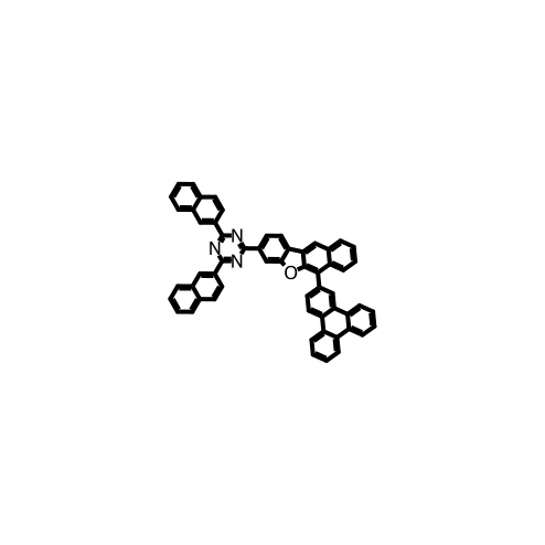 c1ccc2cc(-c3nc(-c4ccc5ccccc5c4)nc(-c4ccc5c(c4)oc4c(-c6ccc7c8ccccc8c8ccccc8c7c6)c6ccccc6cc45)n3)ccc2c1